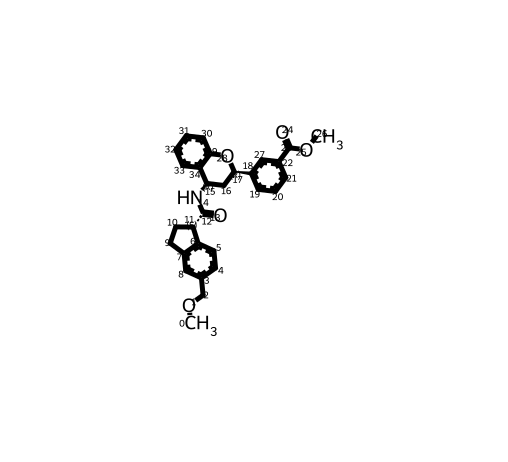 COCc1ccc2c(c1)CC[C@@H]2C(=O)N[C@@H]1C[C@H](c2cccc(C(=O)OC)c2)Oc2ccccc21